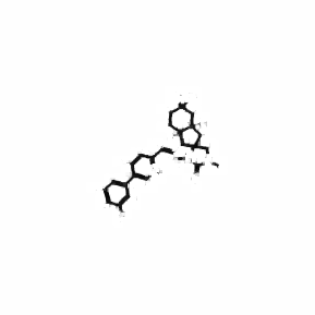 CN1CC2(C[C@H]3CC(F)(F)CC[C@H]3[C@@H]2/C=C/c2ccc(-c3cccc(F)c3)cn2)N(C)C1=O